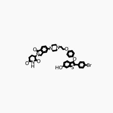 O=C1CCC(N2Cc3cc(N4CCN(CCOc5ccc(Oc6c(-c7ccc(Br)cc7)sc7cc(O)ccc67)cc5)CC4)ccc3C2=O)C(=O)N1